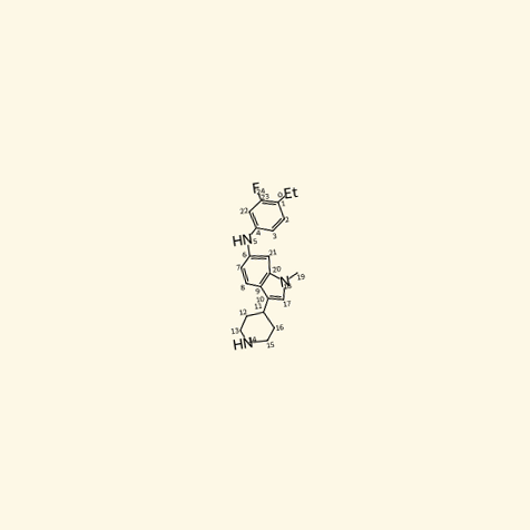 CCc1ccc(Nc2ccc3c(C4CCNCC4)cn(C)c3c2)cc1F